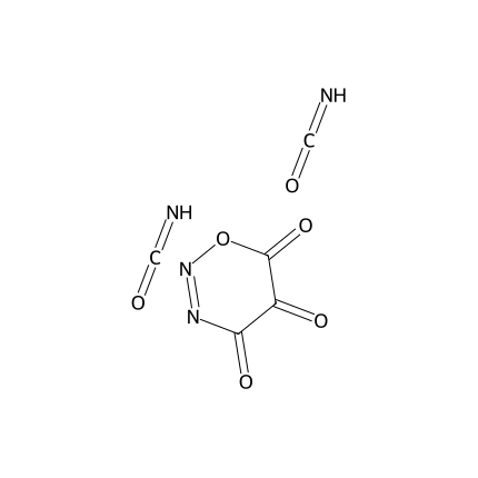 N=C=O.N=C=O.O=C1N=NOC(=O)C1=O